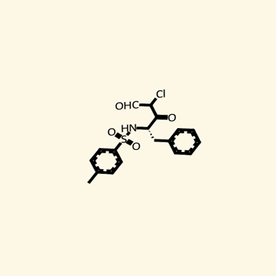 Cc1ccc(S(=O)(=O)N[C@@H](Cc2ccccc2)C(=O)C(Cl)C=O)cc1